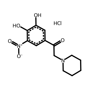 Cl.O=C(CN1CCCCC1)c1cc(O)c(O)c([N+](=O)[O-])c1